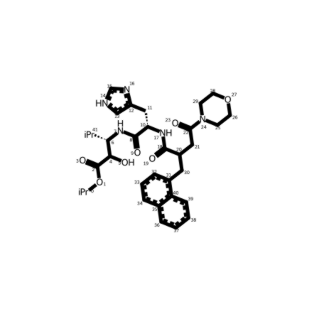 CC(C)OC(=O)C(O)[C@@H](NC(=O)[C@H](Cc1c[nH]cn1)NC(=O)C(CC(=O)N1CCOCC1)Cc1cccc2ccccc12)C(C)C